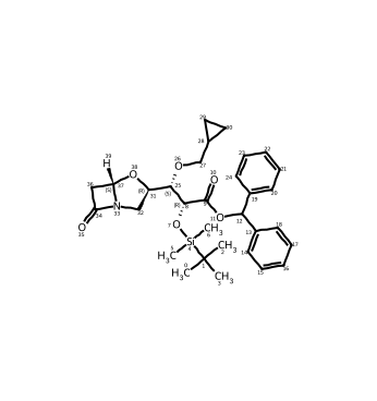 CC(C)(C)[Si](C)(C)O[C@@H](C(=O)OC(c1ccccc1)c1ccccc1)[C@@H](OCC1CC1)[C@H]1CN2C(=O)C[C@@H]2O1